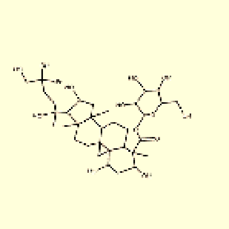 CC(C)C(O)(CO)CCC(C)(O)C1C(O)CC2(C)C3CCC4C(C)(C(=O)OC5OC(CO)C(O)C(O)C5O)C(O)CC(O)C45CC35CCC12C